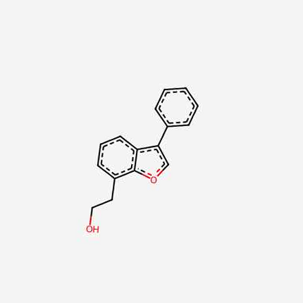 OCCc1cccc2c(-c3ccccc3)coc12